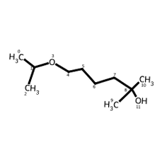 CC(C)OCCCCC(C)(C)O